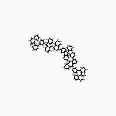 c1cc(-c2c3ccccc3c(-c3ccc4c(c3)C3(c5ccccc5-c5ccccc53)c3ccc(-c5ccc(-c6c7ccccc7c(-c7cccc(-c8cccc9oc%10ccc%11ccccc%11c%10c89)c7)c7ccccc67)c6ccccc56)cc3-4)c3ccccc23)cc(-c2cccc3oc4ccc5ccccc5c4c23)c1